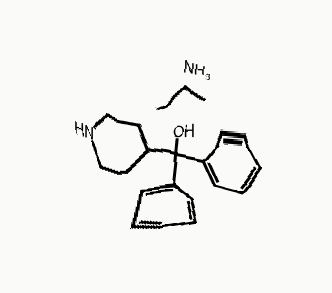 CCC.N.OC(c1ccccc1)(c1ccccc1)C1CCNCC1